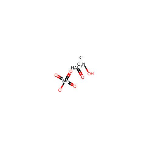 O=[N+]([O-])O.[K+].[O]=[AlH].[O]=[Mn](=[O])(=[O])[O-]